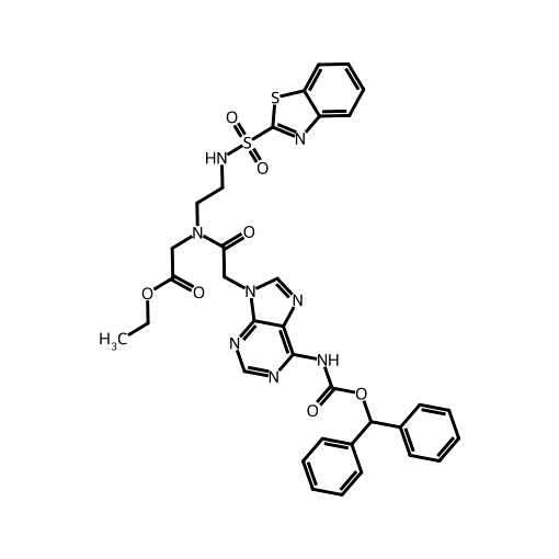 CCOC(=O)CN(CCNS(=O)(=O)c1nc2ccccc2s1)C(=O)Cn1cnc2c(NC(=O)OC(c3ccccc3)c3ccccc3)ncnc21